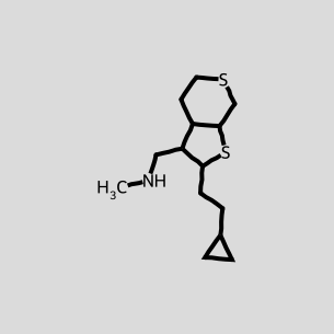 CNCC1C(CCC2CC2)SC2CSCCC21